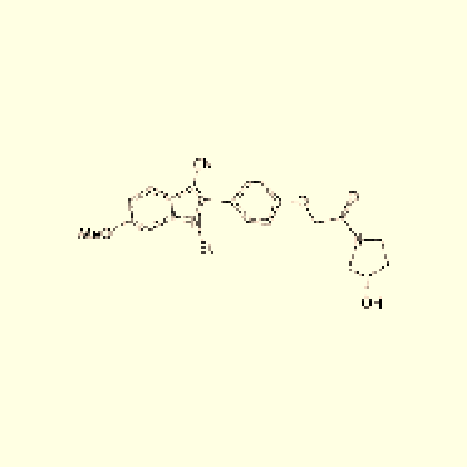 CCn1c(-c2ccc(OCC(=O)N3CC[C@H](O)C3)cc2)c(C#N)c2ccc(OC)cc21